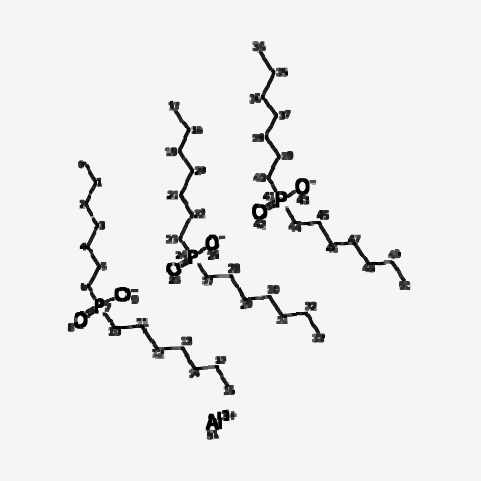 CCCCCCCP(=O)([O-])CCCCCCC.CCCCCCCP(=O)([O-])CCCCCCC.CCCCCCCP(=O)([O-])CCCCCCC.[Al+3]